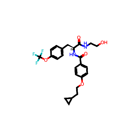 O=C(N[C@@H](Cc1ccc(OC(F)(F)F)cc1)C(=O)NCCO)c1ccc(OCCC2CC2)cc1